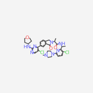 CC(NC(=O)C(C)N1Cc2ccc(-c3nc(NC4CCOCC4)ncc3Cl)cc2C1=O)c1nc(N2CCN(C)CC2)ccc1Cl